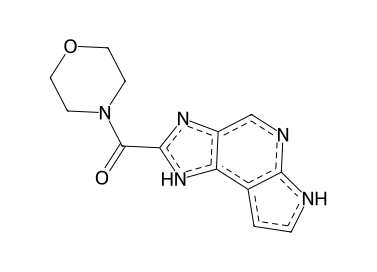 O=C(c1nc2cnc3[nH]ccc3c2[nH]1)N1CCOCC1